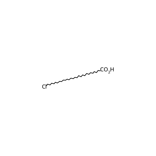 O=C(O)CCCCCCCCCCCCCCCCCCCCCCCCCCCCCl